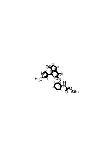 Cn1cc(-c2nc(N[C@@H]3CCCC[C@@H]3NC(=O)OC(C)(C)C)c(F)c3c2C(=O)CC3)cn1